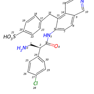 NC[C@@H](C(=O)Nc1ccc2cnccc2c1Cc1ccc(S(=O)(=O)O)cc1)c1ccc(Cl)cc1